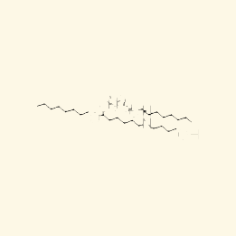 CCCCCCCCOC(CCCCCNCCCCO)O[Si](C)(C)O[Si](C)(C)OCCCCCCCC